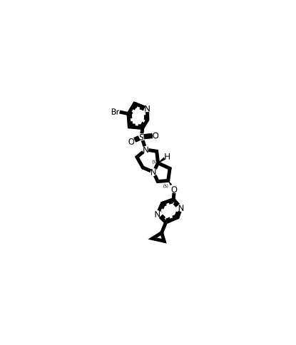 O=S(=O)(c1cncc(Br)c1)N1CCN2C[C@@H](Oc3cnc(C4CC4)cn3)C[C@H]2C1